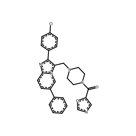 O=C(c1cnco1)N1CCN(Cc2c(-c3ccc(Cl)cc3)nc3ccc(-c4ccccc4)cn23)CC1